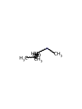 CCCCCCCC/C=C\CCCCCCCCC1NC(=O)N(CN(C)CCCCCCCC)C1=O